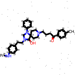 Cc1ccc(C(=O)CCCN2CCC3(CC2)C(O)N(CCc2ccc(NC(C)C)cc2)CN3c2ccccc2)cc1